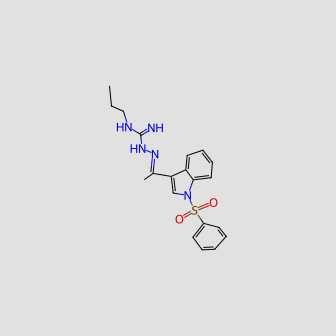 CCCNC(=N)NN=C(C)c1cn(S(=O)(=O)c2ccccc2)c2ccccc12